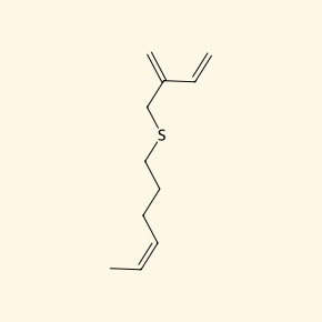 C=CC(=C)CSCCC/C=C\C